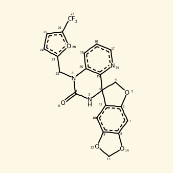 O=C1NC2(COc3cc4c(cc32)OCO4)c2ncccc2N1Cc1ccc(C(F)(F)F)o1